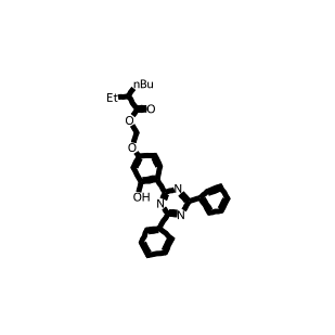 CCCCC(CC)C(=O)OCOc1ccc(-c2nc(-c3ccccc3)nc(-c3ccccc3)n2)c(O)c1